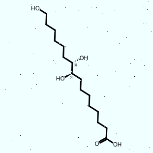 O=C(O)CCCCCCC[C@@H](O)[C@@H](O)CCCCCCO